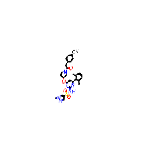 Cc1cccc(C)c1-c1cc(OC2CCN(C(=O)Cc3ccc(C#N)cc3)C2)nc(NS(=O)(=O)c2cnn(C)c2)n1